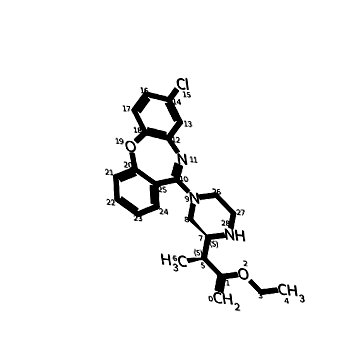 C=C(OCC)[C@@H](C)[C@H]1CN(C2=Nc3cc(Cl)ccc3Oc3ccccc32)CCN1